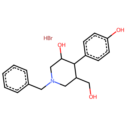 Br.OCC1CN(Cc2ccccc2)CC(O)C1c1ccc(O)cc1